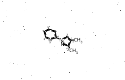 Cc1[c]n(-c2ccccn2)nc1C